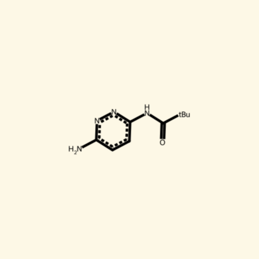 CC(C)(C)C(=O)Nc1ccc(N)nn1